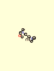 N#Cc1cc(-c2ccc(-n3c4ccccc4c4ccc5oc6ccccc6c5c43)cc2)ccc1-n1c2ccccc2c2ccccc21